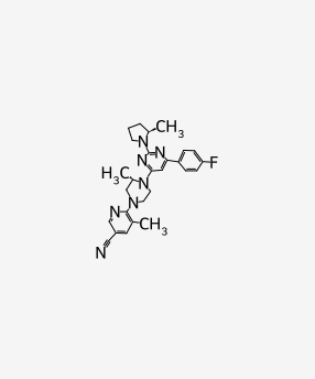 Cc1cc(C#N)cnc1N1CCN(c2cc(-c3ccc(F)cc3)nc(N3CCC[C@H]3C)n2)[C@H](C)C1